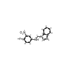 O=[N+]([O-])c1cc(NCn2nnc3ccccc32)ccc1F